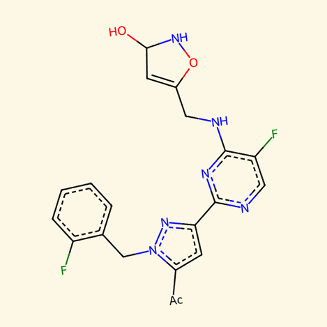 CC(=O)c1cc(-c2ncc(F)c(NCC3=CC(O)NO3)n2)nn1Cc1ccccc1F